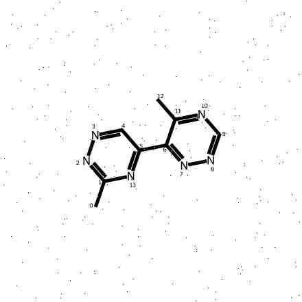 Cc1nncc(-c2nncnc2C)n1